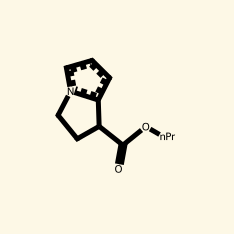 CCCOC(=O)C1CCn2cccc21